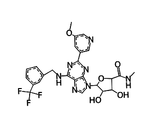 CNC(=O)C1OC(n2cnc3c(NCc4cccc(C(F)(F)F)c4)nc(-c4cncc(OC)c4)nc32)C(O)C1O